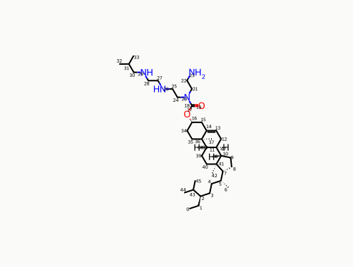 CC[C@H](CC[C@@H](C)[C@H]1CC[C@H]2[C@@H]3CC=C4C[C@@H](OC(=O)N(CCN)CCNCCNCC(C)C)CC[C@]4(C)[C@H]3CC[C@]12C)C(C)C